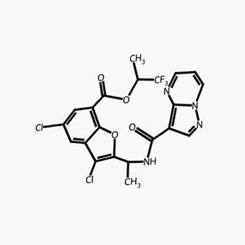 CC(NC(=O)c1cnn2cccnc12)c1oc2c(C(=O)OC(C)C(F)(F)F)cc(Cl)cc2c1Cl